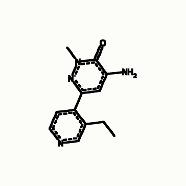 CCc1cnccc1-c1cc(N)c(=O)n(C)n1